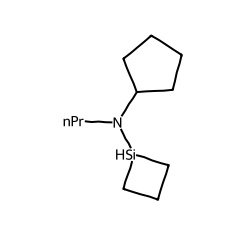 CCCN(C1CCCC1)[SiH]1CCC1